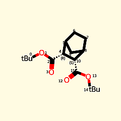 CC(C)(C)OC(=O)[C@@H]1C2CCC(C2)[C@@H]1C(=O)OC(C)(C)C